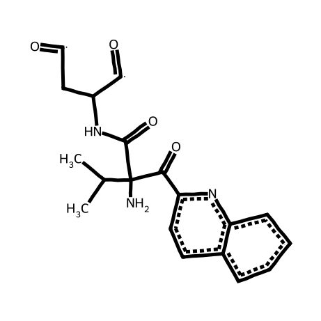 CC(C)C(N)(C(=O)NC([C]=O)C[C]=O)C(=O)c1ccc2ccccc2n1